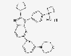 ClNC1(c2ccc(-n3c(C4CCCC4)nc4ccc(-c5cccc(N6CCOCC6)c5)nc43)cc2)CCC1